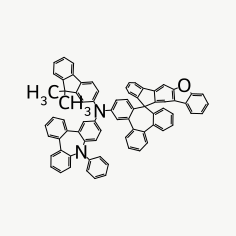 CC1(C)c2ccccc2-c2ccc(N(c3ccc4c(c3)-c3ccccc3-c3ccccc3N4c3ccccc3)c3ccc4c(c3)-c3ccccc3-c3ccccc3C43c4ccccc4-c4cc5oc6ccccc6c5cc43)cc21